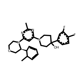 Cc1nc(N2CCC(O)(c3ccc(F)c(F)c3)CC2)cc(N2CCOC[C@@H]2C2C=CC=CC2C)n1